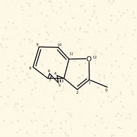 CC1=CC23C=CC=C2C=CC=C3O1